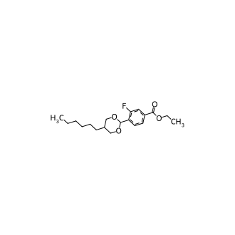 CCCCCCC1COC(c2ccc(C(=O)OCC)cc2F)OC1